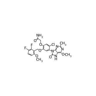 COc1ccc(F)c(F)c1COc1cc(-n2c(=O)[nH]c3c(OC)nc(C)nc32)c(Cl)cc1OCC(N)=O